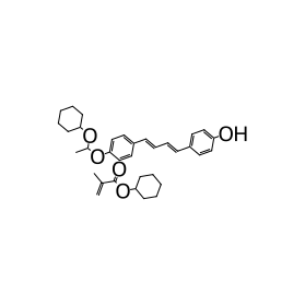 C=C(C)C(=O)OC1CCCCC1.CC(Oc1ccc(C=CC=Cc2ccc(O)cc2)cc1)OC1CCCCC1